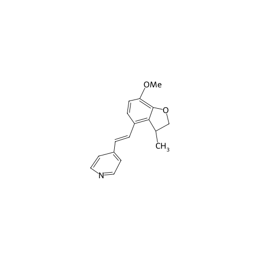 COc1ccc(C=Cc2ccncc2)c2c1OCC2C